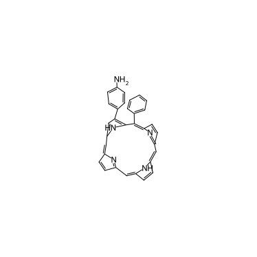 Nc1ccc(-c2cc3cc4nc(cc5ccc(cc6nc(c(-c7ccccc7)c2[nH]3)C=C6)[nH]5)C=C4)cc1